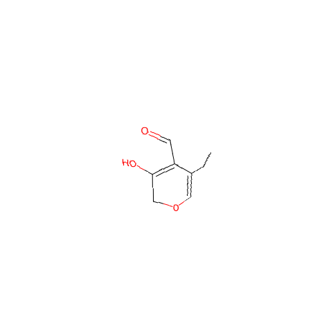 CC1=COCC(O)=C1C=O